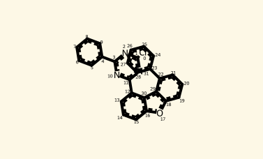 Clc1nc(-c2ccccc2)nc(-c2cccc3oc4cccc(-c5ccccc5)c4c23)n1